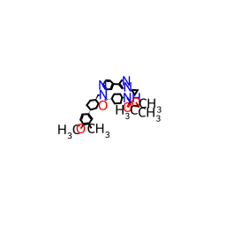 COc1ccc([C@H]2CC[C@H](CN(c3cc(-c4cnn(C5CC5)c4)ccn3)C(=O)[C@H]3CC[C@H](NC(=O)OC(C)(C)C)CC3)CC2)cc1C